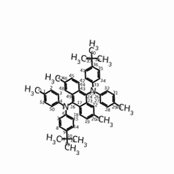 Cc1ccc(N(c2ccc(C(C)(C)C)cc2)c2c3ccc(C)cc3c(N(c3ccc(C)cc3)c3ccc(C(C)(C)C)cc3)c3ccc(C)cc23)cc1